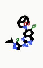 OC1C2CC1CN(c1cc3nc(Nc4cnn(C5CC5)c4Cl)ncc3cc1Cl)C2